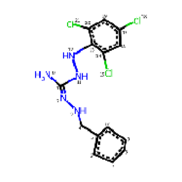 NC(=NNCc1ccccc1)NNc1c(Cl)cc(Cl)cc1Cl